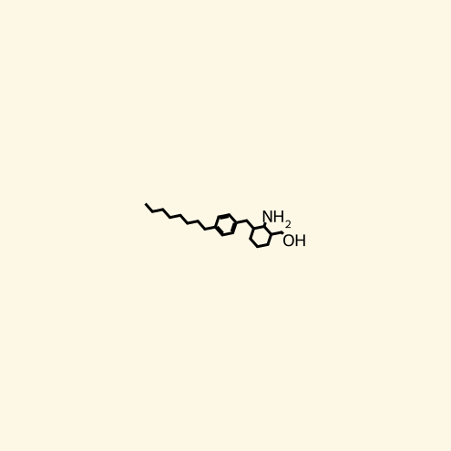 CCCCCCCCc1ccc(CC2CCCC(CO)C2N)cc1